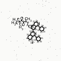 CCCC(C)C(=O)C(=O)C(C)(C)C.[Ir].c1ccc(-c2nccc3ccccc23)cc1.c1ccc(-c2nccc3ccccc23)cc1